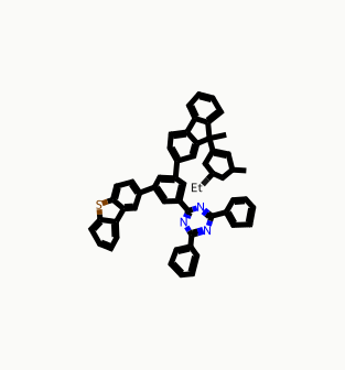 CCC1CC(C2(C)c3ccccc3-c3ccc(-c4cc(-c5ccc6sc7ccccc7c6c5)cc(-c5nc(-c6ccccc6)nc(-c6ccccc6)n5)c4)cc32)=CC(C)C1